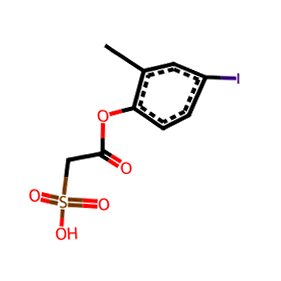 Cc1cc(I)ccc1OC(=O)CS(=O)(=O)O